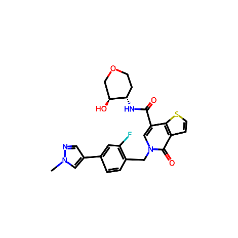 Cn1cc(-c2ccc(Cn3cc(C(=O)N[C@H]4CCOC[C@@H]4O)c4sccc4c3=O)c(F)c2)cn1